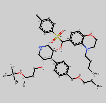 COCCCN1CCOc2ccc(C(O[C@H]3CNC[C@@H](OCC[C@H](C)O[Si](C(C)C)(C(C)C)C(C)C)[C@@H]3c3ccc(COCCOC)cc3)S(=O)(=O)c3ccc(C)cc3)cc21